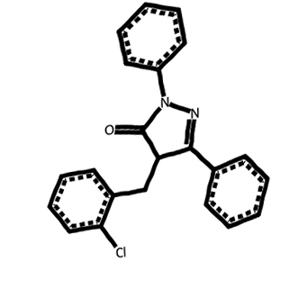 O=C1C(Cc2ccccc2Cl)C(c2ccccc2)=NN1c1ccccc1